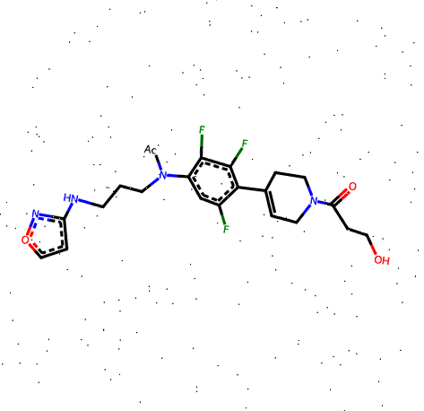 CC(=O)N(CCCNc1ccon1)c1cc(F)c(C2=CCN(C(=O)CCO)CC2)c(F)c1F